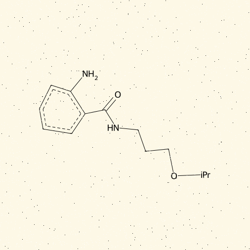 CC(C)OCCCNC(=O)c1ccccc1N